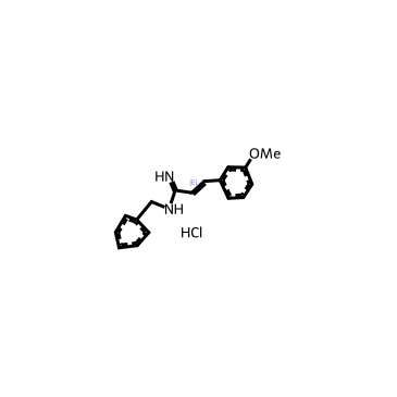 COc1cccc(/C=C/C(=N)NCc2ccccc2)c1.Cl